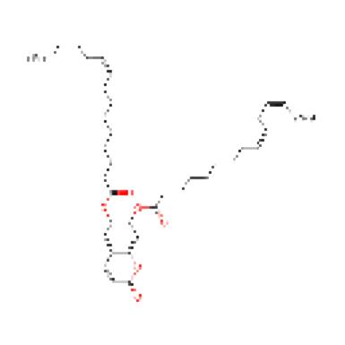 CCCCC/C=C\C/C=C\CCCCCCCC(=O)Oc1cc2ccc(=O)oc2cc1OC(=O)CCCCCCC/C=C\C/C=C\CCCCC